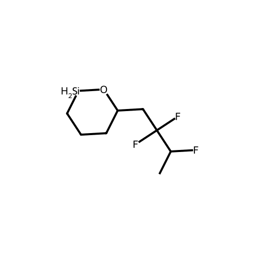 CC(F)C(F)(F)CC1CCC[SiH2]O1